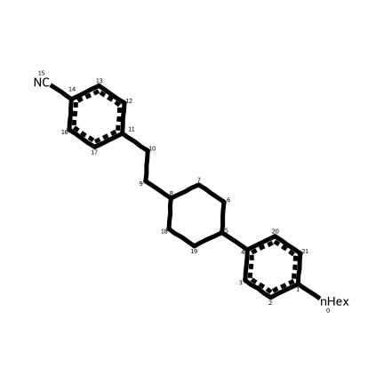 CCCCCCc1ccc(C2CCC(CCc3ccc(C#N)cc3)CC2)cc1